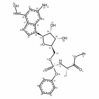 CC(C)OC(=O)[C@H](C)N[P@](=O)(OC[C@H]1O[C@@H](n2cnc3c(NO)nc(N)nc32)[C@H](O)[C@@H]1O)Oc1ccccc1